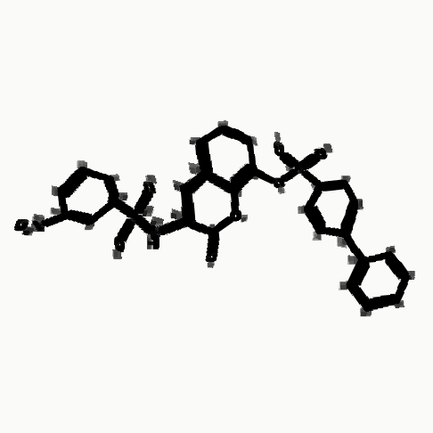 O=c1oc2c(OS(=O)(=O)c3ccc(-c4ccccc4)cc3)cccc2cc1NS(=O)(=O)c1cccc([N+](=O)[O-])c1